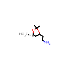 CC1(C)OC(CCN)C[C@H](CC(=O)O)O1